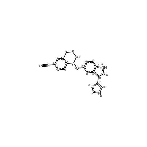 N#Cc1cc2c(cn1)[C@H](Oc1ccc3[nH]nc(-c4cnco4)c3c1)CCC2